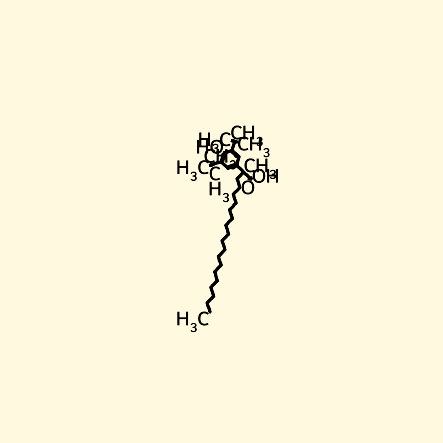 CCCCCCCCCCCCCCCCCCCC(C)(C(=O)O)c1cc(C(C)(C)C)c(O)c(C(C)(C)C)c1